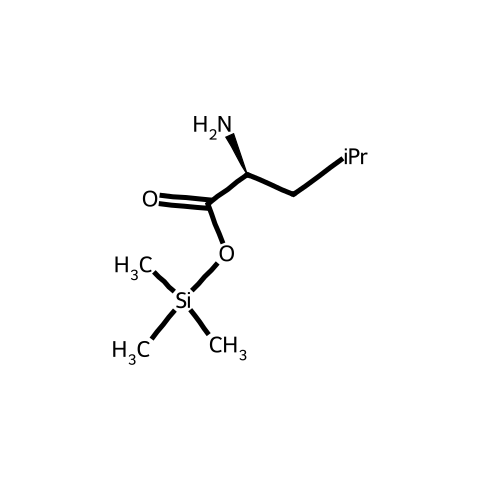 CC(C)C[C@H](N)C(=O)O[Si](C)(C)C